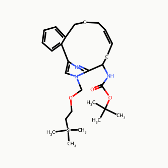 CC(C)(C)OC(=O)NC1CC=CCCCc2ccccc2-c2cn(COCC[Si](C)(C)C)c1n2